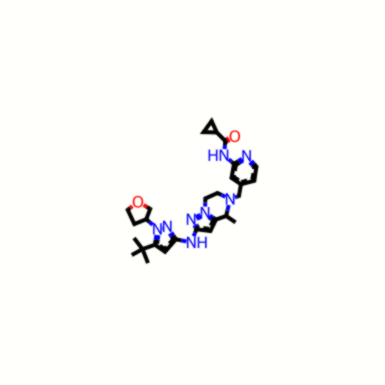 CC1c2cc(Nc3cc(C(C)(C)C)n(C4CCOC4)n3)nn2CCN1Cc1ccnc(NC(=O)C2CC2)c1